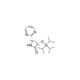 CC(C)[Si](O[C@@H]1C(=O)N[C@@H]1c1ncccn1)(C(C)C)C(C)C